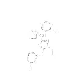 CCCn1nc(NC2C3CC2N(c2cc(Cl)ncn2)C3)nc1Oc1cccc(Cl)c1